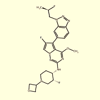 COc1nc(N[C@H]2CCN(C3COC3)C[C@H]2F)nn2cc(F)c(-c3ccc4nnn(C[C@@H](C)F)c4c3)c12